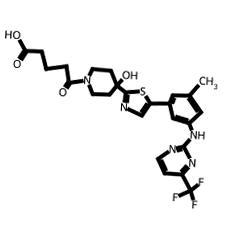 Cc1cc(Nc2nccc(C(F)(F)F)n2)cc(-c2cnc(C3(O)CCN(C(=O)CCCC(=O)O)CC3)s2)c1